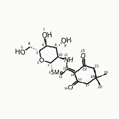 CS[C@@H]1O[C@H](CO)[C@@H](O)[C@H](O)[C@H]1NC(C)=C1C(=O)CC(C)(C)CC1=O